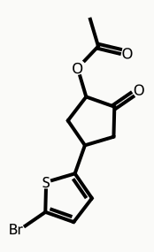 CC(=O)OC1CC(c2ccc(Br)s2)CC1=O